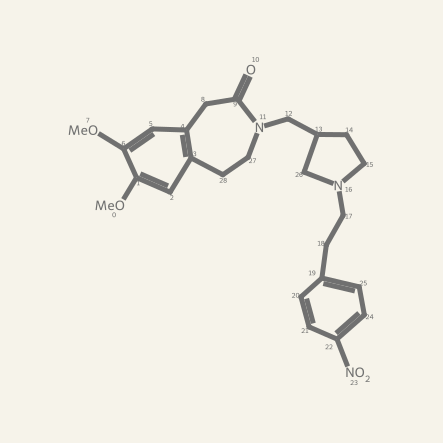 COc1cc2c(cc1OC)CC(=O)N(CC1CCN(CCc3ccc([N+](=O)[O-])cc3)C1)CC2